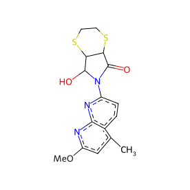 COc1cc(C)c2ccc(N3C(=O)C4SCCSC4C3O)nc2n1